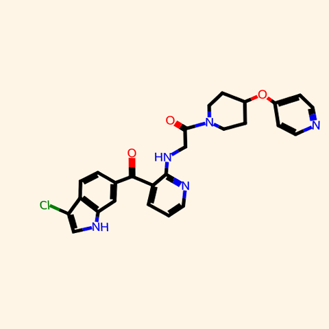 O=C(c1ccc2c(Cl)c[nH]c2c1)c1cccnc1NCC(=O)N1CCC(Oc2ccncc2)CC1